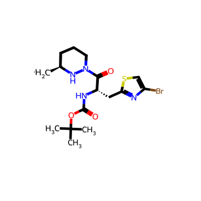 [CH2][C@H]1CCCN(C(=O)[C@H](Cc2nc(Br)cs2)NC(=O)OC(C)(C)C)N1